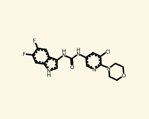 O=C(Nc1cnc(N2CCOCC2)c(Cl)c1)Nc1c[nH]c2cc(F)c(F)cc12